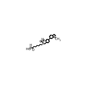 Cn1ccc2ccc(-c3ccc(CN(CCCCCCC(=O)NO)[SH](=O)=O)cc3)cc21